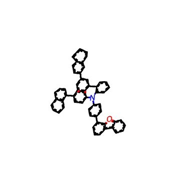 c1cc(-c2ccc3ccccc3c2)cc(-c2ccccc2N(c2ccc(-c3cccc4ccccc34)cc2)c2ccc(-c3cccc4c3oc3ccccc34)cc2)c1